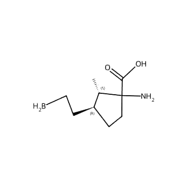 BCC[C@@H]1CCC(N)(C(=O)O)[C@H]1C